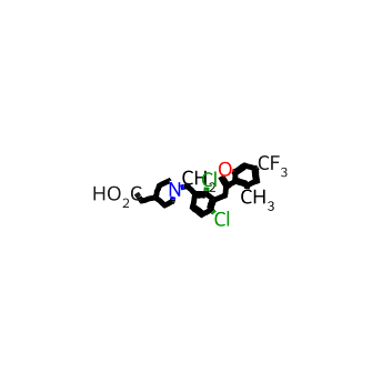 C=C(c1ccc(Cl)c(Cc2coc3cc(C(F)(F)F)cc(C)c23)c1Cl)N1CCC(CC(=O)O)CC1